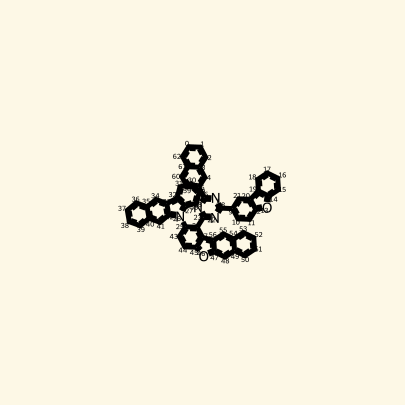 c1ccc2cc(-c3nc(-c4ccc5oc6ccccc6c5c4)nc(-c4c(-n5c6ccccc6c6cc7ccccc7cc65)ccc5oc6cc7ccccc7cc6c45)n3)ccc2c1